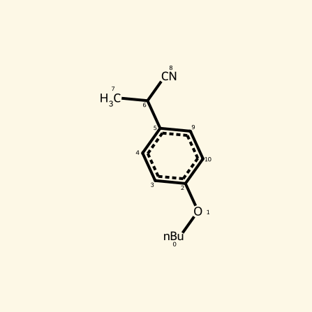 CCCCOc1ccc(C(C)C#N)cc1